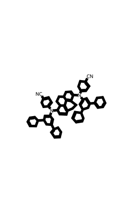 N#CC1=CC=C(N(C2=CC(C3C=CC=CC3)CC(C3=CC=CCC3)=C2)C2=CCC3CCC4C5=C(C=CC4N(C4=CC(C6C=CC=CC6)CC(C6=CC=CCC6)=C4)C4=CC=C(C#N)CC4)CCC2=C53)CC1